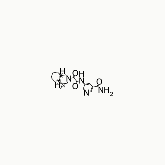 C[C@@H]1CN(C(=O)C(=O)Nc2cncc(C(N)=O)c2)C[C@H]2CCCC[C@@H]21